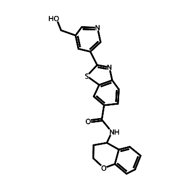 O=C(NC1CCOc2ccccc21)c1ccc2nc(-c3cncc(CO)c3)sc2c1